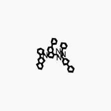 c1ccc(-c2ccc(-c3nc(-c4ccccc4)nc(-c4ccc(-n5c6ccccc6c6cc7ccccc7cc65)c5ccc(-c6ccccc6)cc45)n3)cc2)cc1